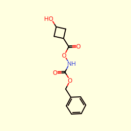 O=C(NOC(=O)C1CC(O)C1)OCc1ccccc1